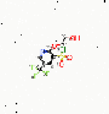 O=S(=O)(Cl)c1cc(C(F)(F)F)cnc1OCCO